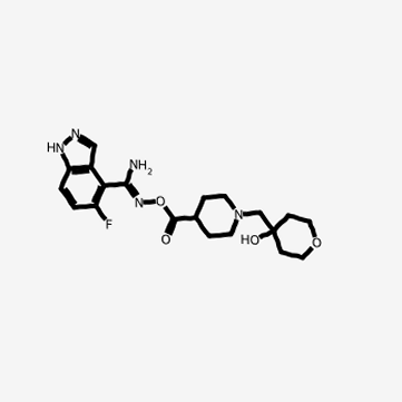 N/C(=N\OC(=O)C1CCN(CC2(O)CCOCC2)CC1)c1c(F)ccc2[nH]ncc12